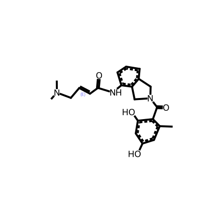 Cc1cc(O)cc(O)c1C(=O)N1Cc2cccc(NC(=O)/C=C/CN(C)C)c2C1